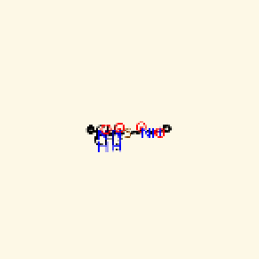 CCC(C)(NC(=O)CCNC(=O)CSCCCC(=O)NCCCOC1CCCC1)c1ccccc1